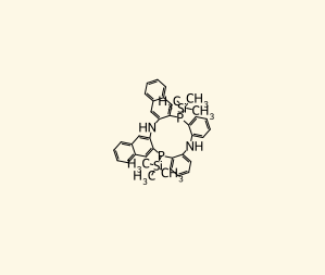 C[Si](C)(C)P1c2ccccc2Nc2ccccc2P([Si](C)(C)C)c2cc3ccccc3cc2Nc2cc3ccccc3cc21